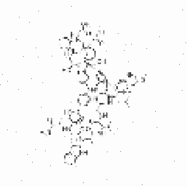 CSCCC(NC(=O)[C@H](CC(C)C)NC(=O)[C@H](Cc1cnc[nH]1)NC(=O)CNC(=O)[C@@H](NC(=O)C(C)NC(=O)[C@H](Cc1c[nH]c2ccccc12)NC(=O)C(CCC(N)=O)NC(=O)c1ccc(NC(=O)CNC(=O)CCC2(N(CC(=O)O)CC(=O)O)CN(CC(=O)O)[C@@H]3CCCC[C@H]3N(CC(=O)O)C2)cc1)C(C)C)C(N)=O